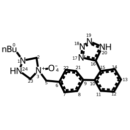 CCCCN1C[N+]([O-])(Cc2ccc(-c3ccccc3-c3nnn[nH]3)cc2)CN1